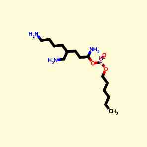 CCCCCCO[PH](=O)OC(N)CCC(CN)CCCCN